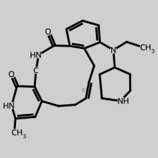 CCN(c1cccc2c1C/C=C/CCc1cc(C)[nH]c(=O)c1CNC2=O)C1CCNCC1